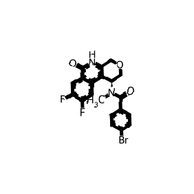 CN(C(=O)c1ccc(Br)cc1)[C@H]1COCc2[nH]c(=O)c3cc(F)c(F)cc3c21